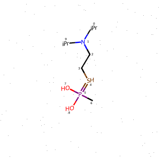 CC(C)N(CC[SH]=P(C)(O)O)C(C)C